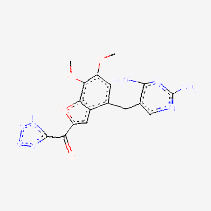 COc1cc(Cc2cnc(N)nc2N)c2cc(C(=O)c3nnn[nH]3)oc2c1OC